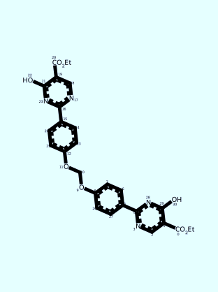 CCOC(=O)c1cnc(-c2ccc(OCOc3ccc(-c4ncc(C(=O)OCC)c(O)n4)cc3)cc2)nc1O